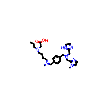 CCCN(CCCCN(C)Cc1ccc(CN(Cc2ncc[nH]2)Cc2nccn2C)cc1)CC(=O)O